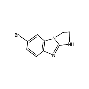 Brc1ccc2nc3n(c2c1)CCN3